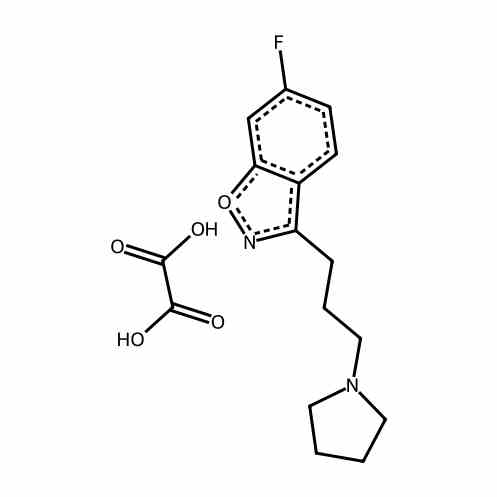 Fc1ccc2c(CCCN3CCCC3)noc2c1.O=C(O)C(=O)O